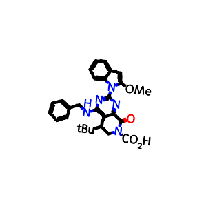 COc1cc2ccccc2n1-c1nc(NCc2ccccc2)c2c(n1)C(=O)N(C(=O)O)CC2C(C)(C)C